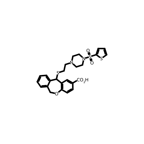 O=C(O)c1ccc2c(c1)C(SCCN1CCN(S(=O)(=O)c3cccs3)CC1)c1ccccc1CO2